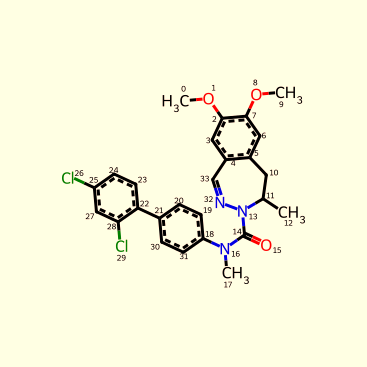 COc1cc2c(cc1OC)CC(C)N(C(=O)N(C)c1ccc(-c3ccc(Cl)cc3Cl)cc1)N=C2